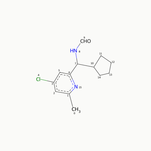 Cc1cc(Cl)cc(C(NC=O)C2CCCC2)n1